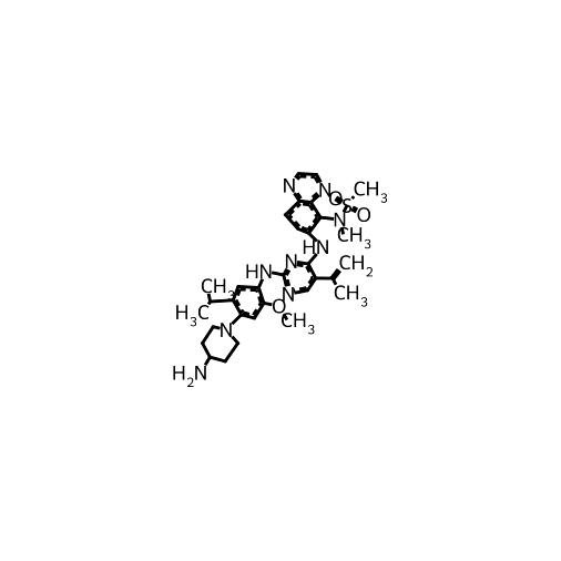 C=C(C)c1cnc(Nc2cc(C(C)C)c(N3CCC(N)CC3)cc2OC)nc1Nc1ccc2nccnc2c1N(C)S(C)(=O)=O